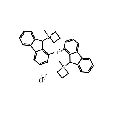 C[Si]1(C2c3ccccc3-c3ccc[c]([Ti+2][c]4cccc5c4C([Si]4(C)CCC4)c4ccccc4-5)c32)CCC1.[Cl-].[Cl-]